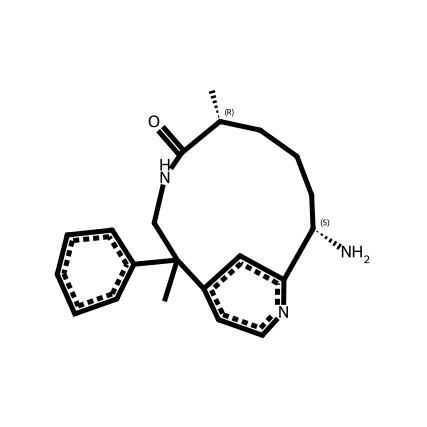 C[C@@H]1CCC[C@H](N)c2cc(ccn2)C(C)(c2ccccc2)CNC1=O